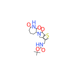 CC(C)(C)OC(=O)NCc1csc2c1CN([C@H]1CCCC(=O)NC1=O)C2=O